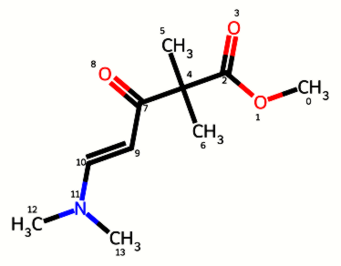 COC(=O)C(C)(C)C(=O)C=CN(C)C